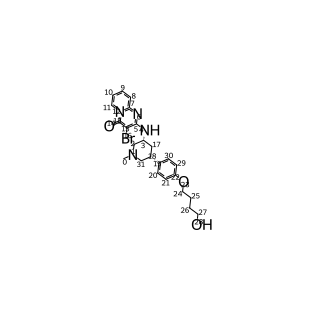 CN1C[C@H](Nc2nc3ccccn3c(=O)c2Br)C[C@H](c2ccc(OCCCCO)cc2)C1